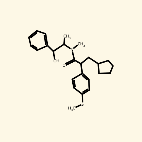 CSc1ccc(C(CC2CCCC2)C(=O)N(C)C(C)C(O)c2ccccc2)cc1